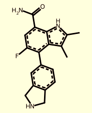 Cc1[nH]c2c(C(N)=O)cc(F)c(-c3ccc4c(c3)CNC4)c2c1C